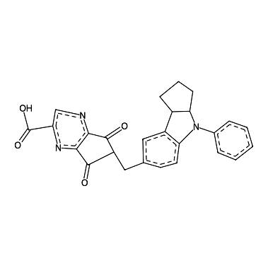 O=C(O)c1cnc2c(n1)C(=O)C(Cc1ccc3c(c1)C1CCCC1N3c1ccccc1)C2=O